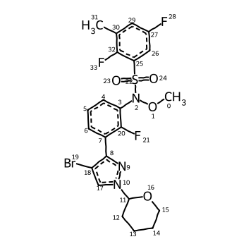 CON(c1cccc(-c2nn(C3CCCCO3)cc2Br)c1F)S(=O)(=O)c1cc(F)cc(C)c1F